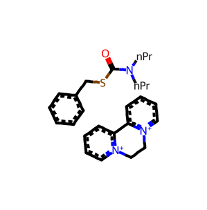 CCCN(CCC)C(=O)SCc1ccccc1.c1cc[n+]2c(c1)-c1cccc[n+]1CC2